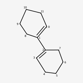 [C]1=C(C2=CCCCC2)CCCC1